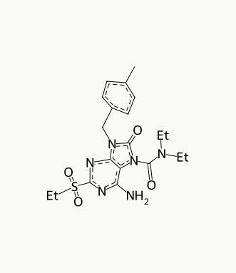 CCN(CC)C(=O)n1c(=O)n(Cc2ccc(C)cc2)c2nc(S(=O)(=O)CC)nc(N)c21